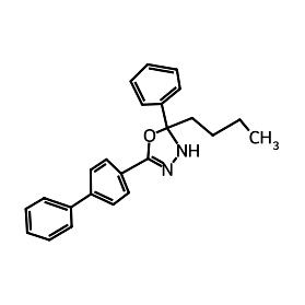 CCCCC1(c2ccccc2)NN=C(c2ccc(-c3ccccc3)cc2)O1